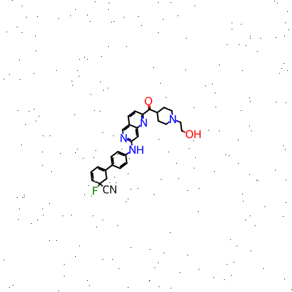 N#CC1(F)C=CC=C(c2ccc(Nc3cc4nc(C(=O)C5CCN(CCO)CC5)ccc4cn3)cc2)C1